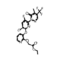 CCOC(=O)COc1ncccc1Oc1nc(-n2ncc(C(F)(F)F)c(C)c2=O)c(F)cc1Cl